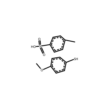 COc1ccc(S)cc1.Cc1ccc(S(=O)(=O)O)cc1